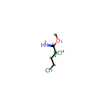 COC(=N)CCCCl.Cl